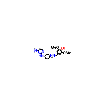 COc1cc(CNC[C@H]2CC[C@@H](Nc3nccc(N(C)C)n3)CC2)cc(OC)c1O